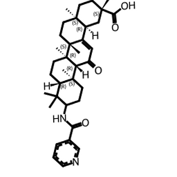 CC1(C)C(NC(=O)c2cccnc2)CC[C@]2(C)[C@H]3C(=O)C=C4[C@@H]5C[C@@](C)(C(=O)O)CC[C@]5(C)CC[C@@]4(C)[C@]3(C)CC[C@@H]12